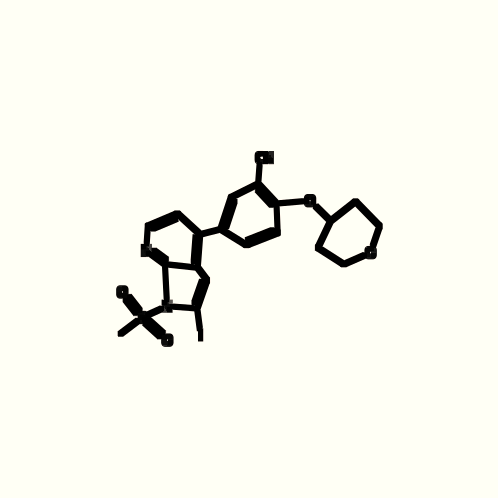 CS(=O)(=O)n1c(I)cc2c(-c3ccc(OC4CCOCC4)c(C#N)c3)ccnc21